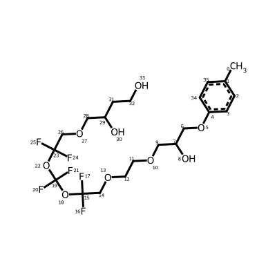 Cc1ccc(OCC(O)COCCOCC(F)(F)OC(F)(F)OC(F)(F)COCC(O)CCO)cc1